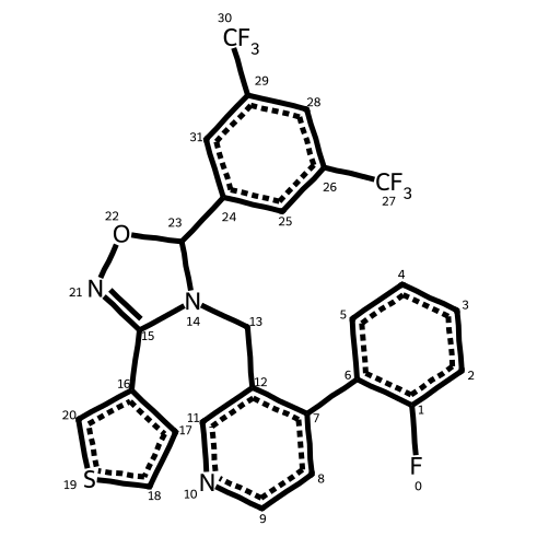 Fc1ccccc1-c1ccncc1CN1C(c2ccsc2)=NOC1c1cc(C(F)(F)F)cc(C(F)(F)F)c1